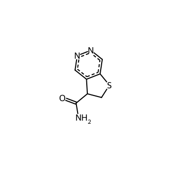 NC(=O)C1CSc2cnncc21